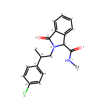 CCNC(=O)C1c2ccccc2C(=O)N1CC(C)c1ccc(Cl)cc1